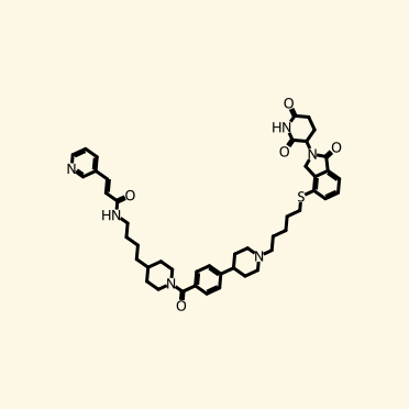 O=C(/C=C/c1cccnc1)NCCCCC1CCN(C(=O)c2ccc(C3CCN(CCCCCSc4cccc5c4CN(C4CCC(=O)NC4=O)C5=O)CC3)cc2)CC1